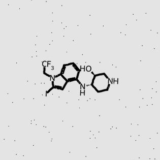 O[C@H]1CNCC[C@@H]1Nc1cccc2c1cc(I)n2CC(F)(F)F